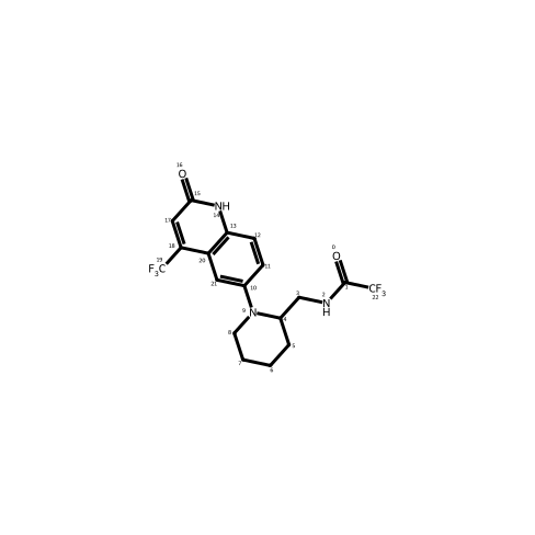 O=C(NCC1CCCCN1c1ccc2[nH]c(=O)cc(C(F)(F)F)c2c1)C(F)(F)F